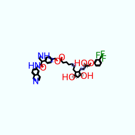 NCC(C(=O)Nc1ccc2cnccc2c1)c1ccc(COC(=O)CCC/C=C\CC2C(/C=C/[C@@H](O)COc3cccc(C(F)(F)F)c3)[C@H](O)C[C@@H]2O)cc1